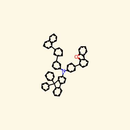 c1ccc(C2(c3ccccc3)c3ccccc3-c3ccc(N(c4ccc(-c5cccc6c5oc5ccccc56)cc4)c4cccc(-c5cccc(-c6cccc7ccccc67)c5)c4)cc32)cc1